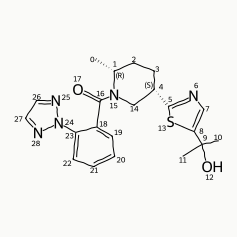 C[C@@H]1CC[C@H](c2ncc(C(C)(C)O)s2)CN1C(=O)c1ccccc1-n1nccn1